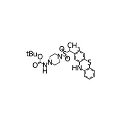 CC(c1ccc2c(c1)Nc1ccccc1S2)S(=O)(=O)N1CCN(NC(=O)OC(C)(C)C)CC1